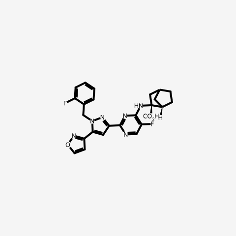 O=C(O)[C@@]1(Nc2nc(-c3cc(-c4ccon4)n(Cc4ccccc4F)n3)ncc2F)CC2CC[C@H]1C2